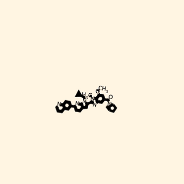 COc1cc(C(=O)N2CC3CCC2C3)cc2nc(-c3cc4ccc(-c5ccc6ncccc6c5)nc4n3CC3CC3)n(C)c12